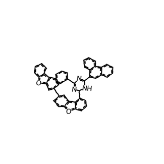 c1ccc(C2=NC(c3cccc4oc5ccc(-c6ccc7c(c6)oc6ccccc67)cc5c34)NC(c3cc4ccccc4c4ccccc34)=N2)cc1